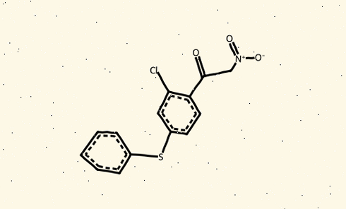 O=C(C[N+](=O)[O-])c1ccc(Sc2ccccc2)cc1Cl